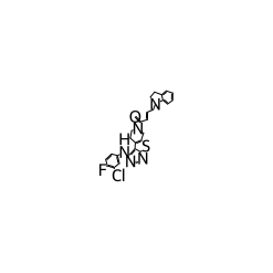 O=C(/C=C/CN1CCc2ccccc21)N1CCc2c(sc3ncnc(Nc4ccc(F)c(Cl)c4)c23)C1